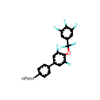 CCCCCc1ccc(-c2cc(F)c(OC(F)(F)c3cc(F)c(F)c(F)c3)c(F)c2)cc1